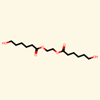 O=C(CCCCCO)OCCOC(=O)CCCCCO